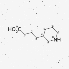 O=C(O)CCCC1CCCNC1